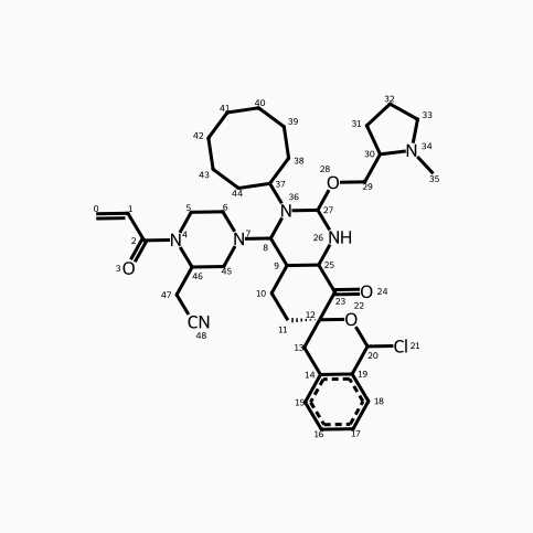 C=CC(=O)N1CCN(C2C3CC[C@]4(Cc5ccccc5C(Cl)O4)C(=O)C3NC(OCC3CCCN3C)N2C2CCCCCCC2)CC1CC#N